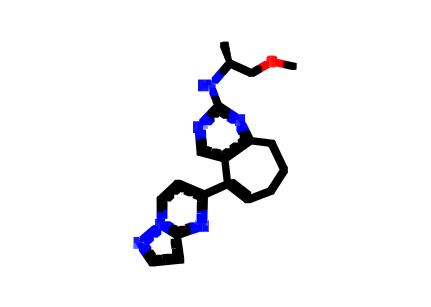 COC[C@H](C)Nc1ncc2c(n1)CCCC=C2c1ccn2nccc2n1